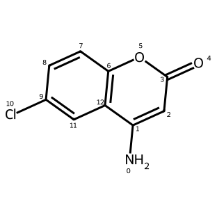 Nc1cc(=O)oc2ccc(Cl)cc12